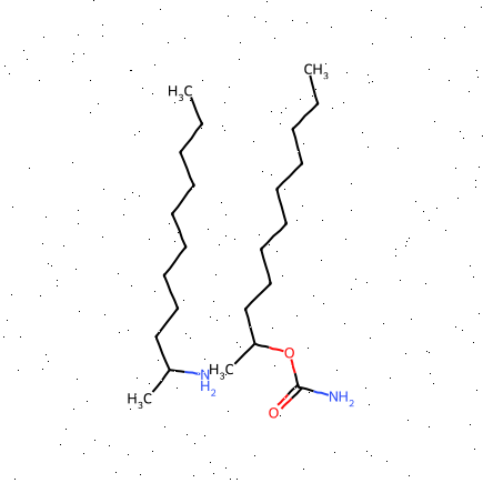 CCCCCCCCCC(C)N.CCCCCCCCCC(C)OC(N)=O